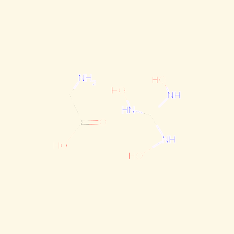 NCC(=O)O.ONC(NO)NO